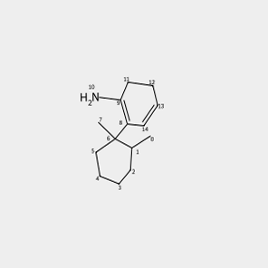 CC1CCCCC1(C)C1=C(N)CCC=C1